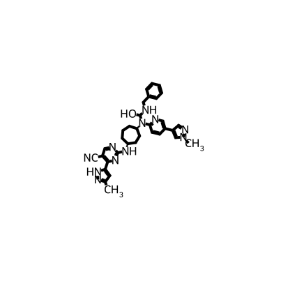 Cc1cc(-c2nc(N[C@H]3CCC[C@@H](N(c4ccc(-c5cnn(C)c5)cn4)C(O)NCc4ccccc4)CC3)ncc2C#N)[nH]n1